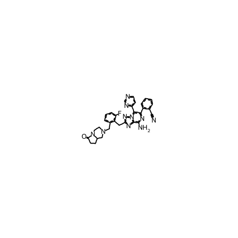 N#Cc1ccccc1-c1nc(N)c2nc(Cc3c(F)cccc3CN3CCN4C(=O)CCC4C3)nn2c1-c1ccncn1